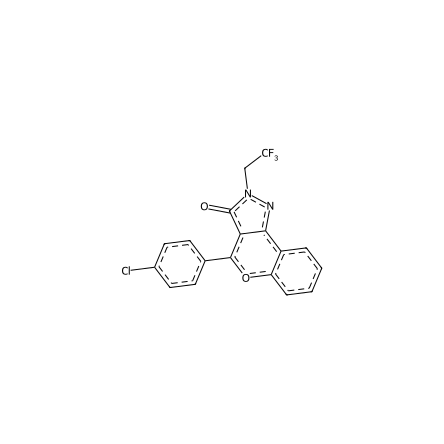 O=c1c2c(-c3ccc(Cl)cc3)oc3ccccc3c-2nn1CC(F)(F)F